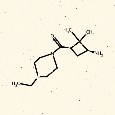 CCN1CCN(C(=O)[C@@H]2C[C@H](N)C2(C)C)CC1